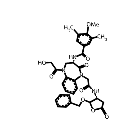 COc1c(C)cc(C(=O)N[C@H]2CN(C(=O)CO)c3ccccc3N(CC(=O)N[C@H]3CC(=O)OC3OCc3ccccc3)C2=O)cc1C